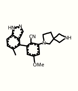 COc1cc(-c2c(C)ccc3[nH]ncc23)c(C#N)c(N2CCC3(CNC3)C2)c1